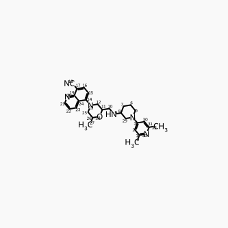 Cc1cc(N2CCCC(NCC3CN(c4ccc(C#N)c5ncccc45)CC(C)O3)C2)cc(C)n1